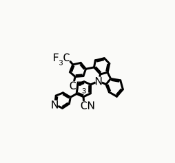 N#Cc1cc(-n2c3ccccc3c3cccc(-c4cc(C(F)(F)F)cc(C(F)(F)F)c4)c32)ccc1-c1ccncc1